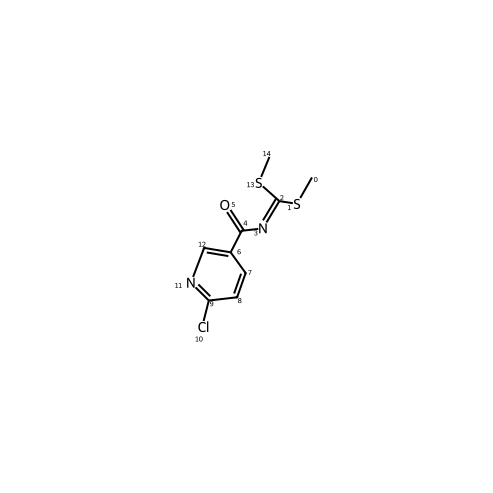 CSC(=NC(=O)c1ccc(Cl)nc1)SC